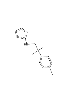 Cc1ccc(C(C)(C)CNc2nccs2)cc1